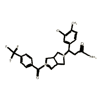 Cc1ccc(C(CC(N)=O)N2CC3CN(C(=O)c4ccc(C(F)(F)F)cc4)CC3C2)cc1Cl